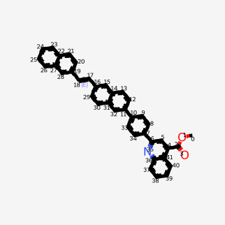 COC(=O)c1cc(-c2ccc(-c3ccc4cc(/C=C/c5ccc6ccccc6c5)ccc4c3)cc2)nc2ccccc12